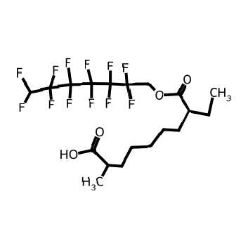 CCC(CCCCCC(C)C(=O)O)C(=O)OCC(F)(F)C(F)(F)C(F)(F)C(F)(F)C(F)(F)C(F)F